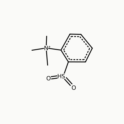 C[N+](C)(C)c1ccccc1[SH](=O)=O